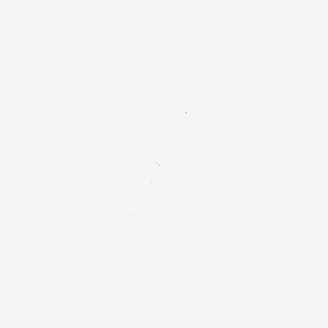 CC(C)c1cn(C(=O)OC(C)(C)C)c2ccc(Cl)cc12